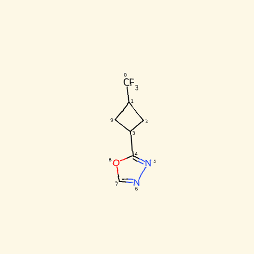 FC(F)(F)C1CC(c2nn[c]o2)C1